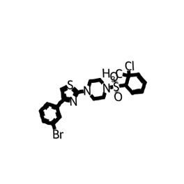 CC1(Cl)C=CC=CC1S(=O)(=O)N1CCN(c2nc(-c3cccc(Br)c3)cs2)CC1